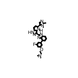 Cc1ncc(-c2ccc3[nH]nc(-c4nc5c(-c6cc(F)cc(OCCN(C)C)c6)cccc5[nH]4)c3n2)n1C